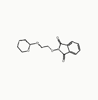 O=C1c2ccccc2C(=O)N1OCCOC1CCCCO1